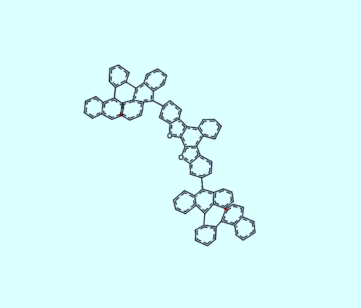 c1ccc(-c2c3ccccc3c(-c3ccc4c(c3)oc3c5oc6cc(-c7c8ccccc8c(-c8ccccc8-c8cccc9ccccc89)c8ccccc78)ccc6c5c5ccccc5c43)c3ccccc23)c(-c2cccc3ccccc23)c1